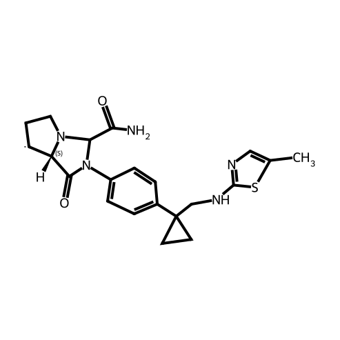 Cc1cnc(NCC2(c3ccc(N4C(=O)[C@@H]5[CH]CCN5C4C(N)=O)cc3)CC2)s1